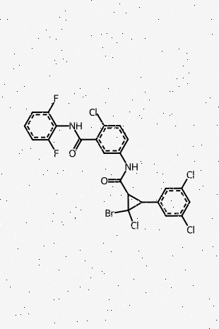 O=C(Nc1c(F)cccc1F)c1cc(NC(=O)C2C(c3cc(Cl)cc(Cl)c3)C2(Cl)Br)ccc1Cl